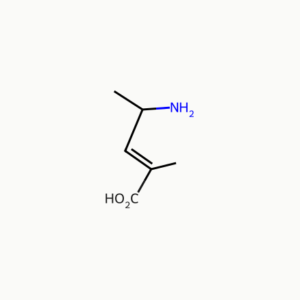 CC(=CC(C)N)C(=O)O